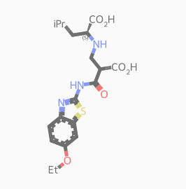 CCOc1ccc2nc(NC(=O)C(CN[C@@H](CC(C)C)C(=O)O)C(=O)O)sc2c1